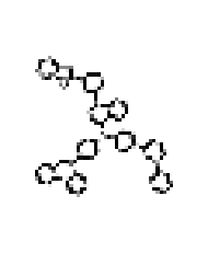 c1ccc(-c2cccc(-c3ccc(N(c4ccc(-c5cc6ccccc6c6ccccc56)cc4)c4ccc(-c5cccc(-c6cc7ccccc7o6)c5)c5ccccc45)cc3)c2)cc1